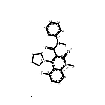 CN(C(=O)c1c(N2CCCC2)c2c(F)cccc2n(C)c1=O)c1ccccc1